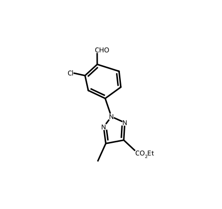 CCOC(=O)c1nn(-c2ccc(C=O)c(Cl)c2)nc1C